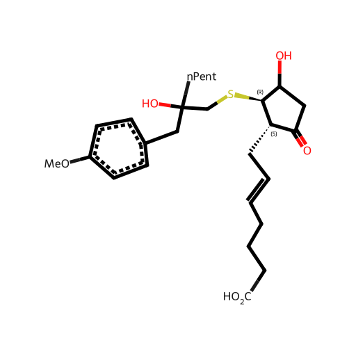 CCCCCC(O)(CS[C@H]1C(O)CC(=O)[C@@H]1CC=CCCCC(=O)O)Cc1ccc(OC)cc1